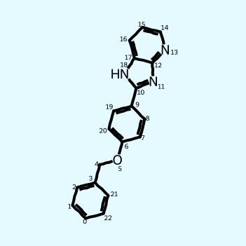 c1ccc(COc2ccc(-c3nc4ncccc4[nH]3)cc2)cc1